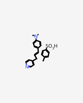 CN(C)c1ccc(C=CCc2ccncc2)cc1.Cc1ccc(S(=O)(=O)O)cc1